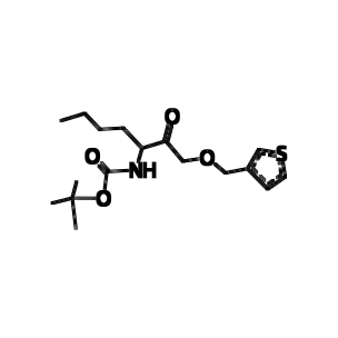 CCCCC(NC(=O)OC(C)(C)C)C(=O)COCc1ccsc1